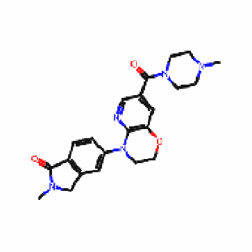 CN1CCN(C(=O)c2cnc3c(c2)OCCN3c2ccc3c(c2)CN(C)C3=O)CC1